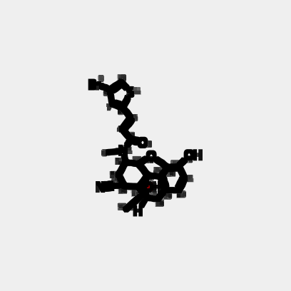 CN(C(=O)/C=C/c1cc(Br)cs1)C1CC[C@@]2(O)[C@H]3Cc4ccc(O)c5c4[C@@]2(CC(C#N)N3C)C1O5